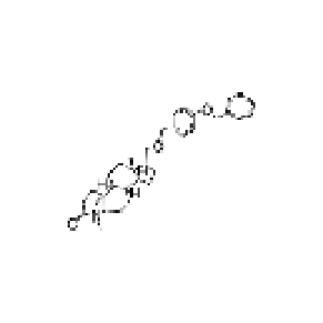 CN1C(=O)CC[C@@]2(C)C1CC[C@@H]1[C@H]2CC[C@]2(C)C(COCc3ccc(OCc4ccccc4)cc3)CC[C@@H]12